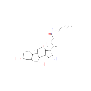 C[C@H](CCC(=O)N(C)CCS(=O)(=O)O)[C@H]1CCC2C3C(C[C@H](O)[C@@]21C)[C@@]1(C)CC[C@@H](O)CC1C[C@H]3O.N